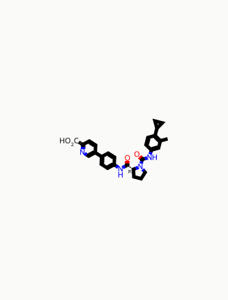 Cc1cc(NC(=O)N2CCC[C@@H]2C(=O)Nc2ccc(-c3ccc(C(=O)O)nc3)cc2)ccc1C1CC1